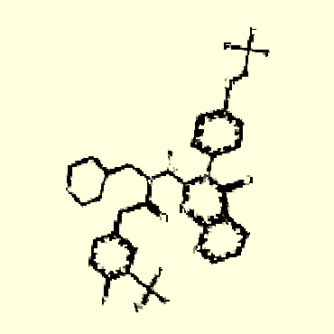 C[C@H](c1nc2ncccc2c(=O)n1-c1ccc(OCC(F)(F)F)cc1)N(CC1CCSCC1)C(=O)Cc1ccc(F)c(C(F)(F)F)c1